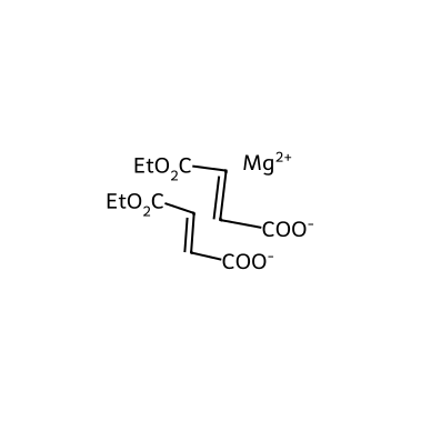 CCOC(=O)/C=C/C(=O)[O-].CCOC(=O)/C=C/C(=O)[O-].[Mg+2]